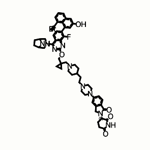 C#Cc1cccc2cc(O)cc(-c3c(CC)cc4c(N5CC6CCC(C5)N6)nc(OCC5(CN6CCC(CCN7CCN(c8ccc9c(c8)CN([C@H]8CCC(=O)NC8=O)C9=O)CC7)CC6)CC5)nc4c3F)c12